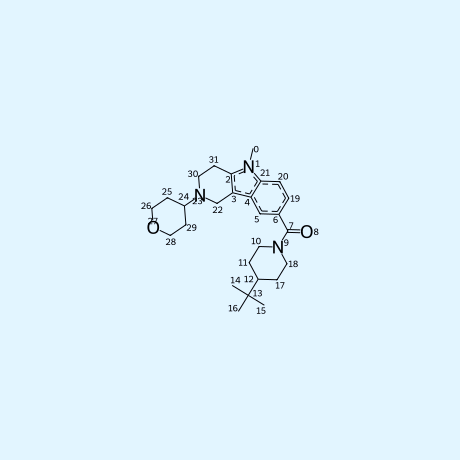 Cn1c2c(c3cc(C(=O)N4CCC(C(C)(C)C)CC4)ccc31)CN(C1CCOCC1)CC2